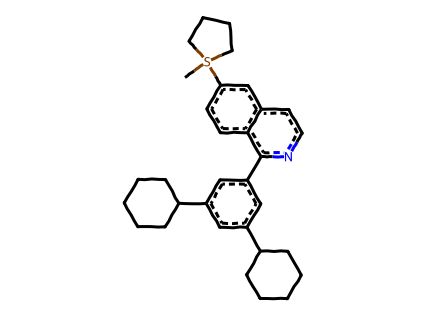 CS1(c2ccc3c(-c4cc(C5CCCCC5)cc(C5CCCCC5)c4)nccc3c2)CCCC1